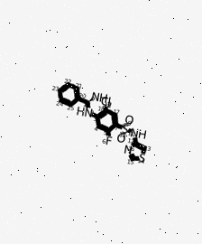 N[C@H](Nc1cc(F)c(S(=O)(=O)Nc2cscn2)cc1Cl)c1ccccc1